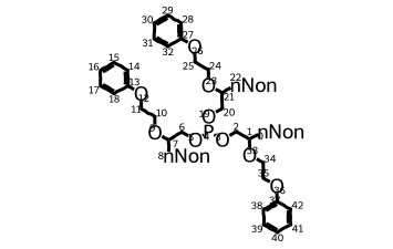 CCCCCCCCCC(COP(OCC(CCCCCCCCC)OCCOc1ccccc1)OCC(CCCCCCCCC)OCCOc1ccccc1)OCCOc1ccccc1